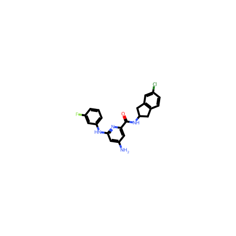 Nc1cc(Nc2cccc(F)c2)nc(C(=O)NC2Cc3ccc(Cl)cc3C2)c1